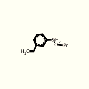 C=Cc1cccc([SiH2]OC(C)C)c1